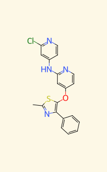 Cc1nc(-c2ccccc2)c(Oc2ccnc(Nc3ccnc(Cl)c3)c2)s1